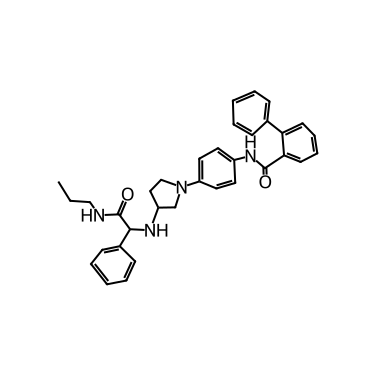 CCCNC(=O)C(NC1CCN(c2ccc(NC(=O)c3ccccc3-c3ccccc3)cc2)C1)c1ccccc1